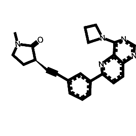 CN1CC[C@H](C#Cc2cccc(-c3ccc4ncnc(N5CCC5)c4n3)c2)C1=O